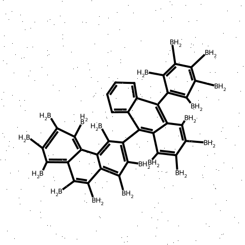 Bc1c(B)c(B)c(-c2c3ccccc3c(-c3c(B)c(B)c4c(B)c(B)c5c(B)c(B)c(B)c(B)c5c4c3B)c3c(B)c(B)c(B)c(B)c23)c(B)c1B